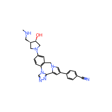 CNC[C@@H]1CN(c2ccc3c(c2)Cn2cc(-c4ccc(C#N)cc4)cc2-c2nncn2-3)C[C@@H]1O